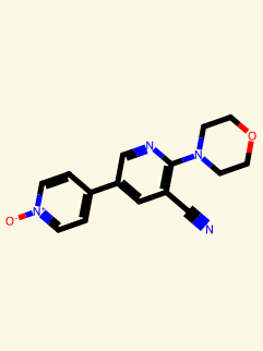 N#Cc1cc(-c2cc[n+]([O-])cc2)cnc1N1CCOCC1